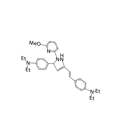 CCN(CC)c1ccc(C=CC2=CC(c3ccc(N(CC)CC)cc3)N(c3cccc(OC)n3)N2)cc1